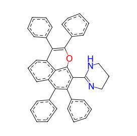 c1ccc(C2=C(c3ccccc3)c3cccc4c(-c5ccccc5)c(-c5ccccc5)c(C5=NCCCN5)c(c34)O2)cc1